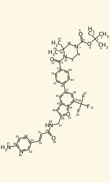 CC(C)(C)OC(=O)N1CCN(C(=O)c2ccc(-c3cc(C(F)(F)F)c4oc(CNC(=O)C=Cc5ccc(N)nc5)cc4c3)cc2)C(C)(C)C1